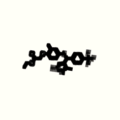 CCOC(=O)COc1ccc(SC(c2ccc(C(F)(F)F)cc2)c2c[nH]nc2C)cc1C